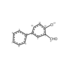 O=Cc1cc(-c2ccccc2)ccc1Cl